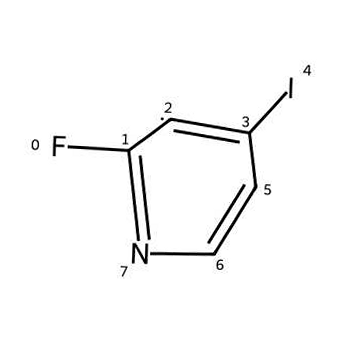 Fc1[c]c(I)ccn1